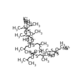 CC(C)COP([O-])(=S)SCC(C)C.CC(C)COP([O-])(=S)SCC(C)C.CCOP(O)(=S)SCC.CCOP(O)(=S)SCC.CCOP([O-])(=S)SCC.N.N.[K+].[K+].[Na+]